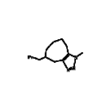 CC(C)CC1CCCCc2c(nnn2C)C1